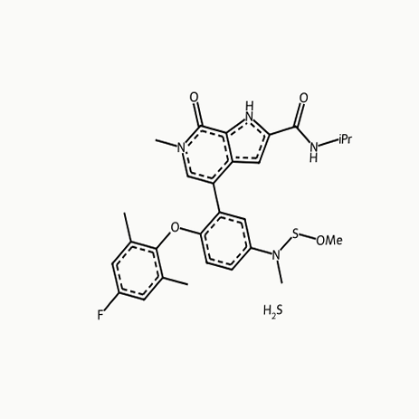 COSN(C)c1ccc(Oc2c(C)cc(F)cc2C)c(-c2cn(C)c(=O)c3[nH]c(C(=O)NC(C)C)cc23)c1.S